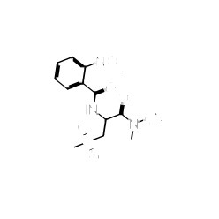 CN(C#N)C(=O)C(CS(C)(=O)=O)NC(=O)c1ccccc1[N+](=O)[O-]